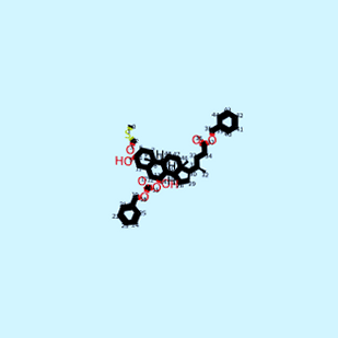 CSCO[C@]1(O)CC[C@@]2(C)C(C1)C[C@@](O)(OC(=O)OCc1ccccc1)[C@H]1[C@@H]3CC[C@H]([C@H](C)CCC(=O)OCc4ccccc4)[C@@]3(C)CC[C@@H]12